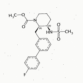 COC(=O)N1CCC[C@@H](NS(C)(=O)=O)[C@H]1Cc1cccc(-c2ccc(F)cc2)c1